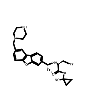 CC(C)C[C@H](N[C@@H](c1ccc2c(c1)oc1ccc(CN3CCNCC3)cc12)C(F)(F)F)C(=O)NC1(C#N)CC1